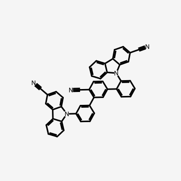 N#Cc1ccc2c(c1)c1ccccc1n2-c1cccc(-c2cc(-c3ccccc3-n3c4ccccc4c4ccc(C#N)cc43)ccc2C#N)c1